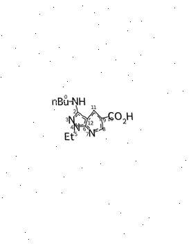 CCCCNc1nn(CC)c2ncc(C(=O)O)cc12